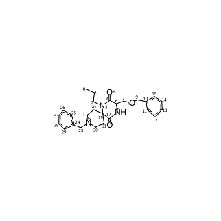 CCCN1C(=O)C(COCc2ccccc2)NC(=O)C12CCN(Cc1ccccc1)CC2